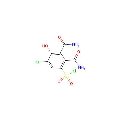 NC(=O)c1c(S(=O)(=O)Cl)cc(Cl)c(O)c1C(N)=O